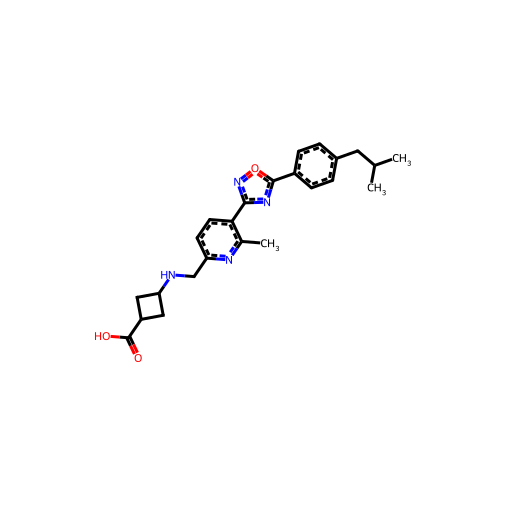 Cc1nc(CNC2CC(C(=O)O)C2)ccc1-c1noc(-c2ccc(CC(C)C)cc2)n1